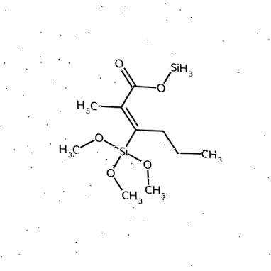 CCCC(=C(C)C(=O)O[SiH3])[Si](OC)(OC)OC